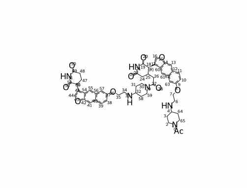 CC(=O)N1CCC(NCCOc2ccc3cc4occ([C@@H]5C(=O)NC(=O)CC5CC(=O)N5CCC(NCCOc6ccc7cc8occ([C@@H]9CCC(=O)NC9=O)c8cc7c6)CC5)c4cc3c2)CC1